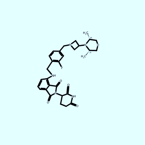 C[C@@H]1COC[C@H](C)N1C1CN(Cc2ccc(CNc3cccc4c3C(=O)N(C3CCC(=O)NC3=O)C4=O)c(F)c2)C1